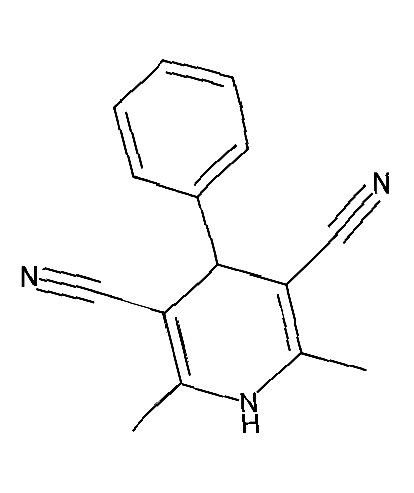 CC1=C(C#N)C(c2ccccc2)C(C#N)=C(C)N1